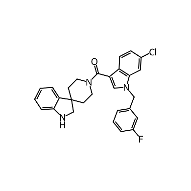 O=C(c1cn(Cc2cccc(F)c2)c2cc(Cl)ccc12)N1CCC2(CC1)CNc1ccccc12